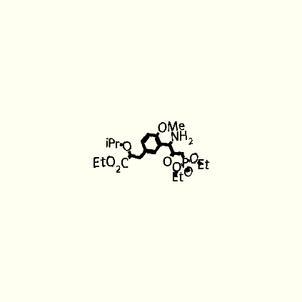 CCOC(=O)C(Cc1ccc(OC)c(C(N)C(=O)CP(=O)(OCC)OCC)c1)OC(C)C